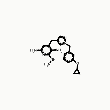 NNc1nc(N)cc(Cc2cnn(Cc3cccc(OC4CC4)c3)c2)c1N